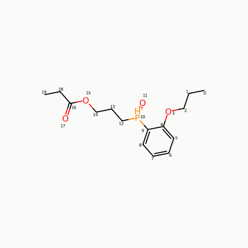 CCCOc1ccccc1[PH](=O)CCCOC(=O)CC